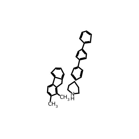 C1CCNCC1.Cc1ccc2c(c1C)Cc1ccccc1-2.c1ccc(-c2ccc(-c3ccccc3)cc2)cc1